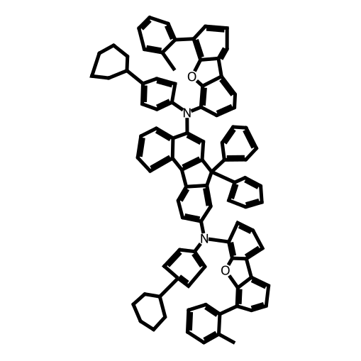 Cc1ccccc1-c1cccc2c1oc1c(N(c3ccc(C4CCCCC4)cc3)c3ccc4c(c3)C(c3ccccc3)(c3ccccc3)c3cc(N(c5ccc(C6CCCCC6)cc5)c5cccc6c5oc5c(-c7ccccc7C)cccc56)c5ccccc5c3-4)cccc12